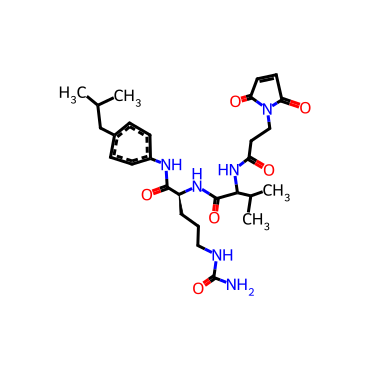 CC(C)Cc1ccc(NC(=O)[C@H](CCCNC(N)=O)NC(=O)C(NC(=O)CCN2C(=O)C=CC2=O)C(C)C)cc1